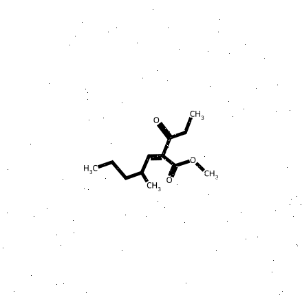 CCCC(C)C=C(C(=O)CC)C(=O)OC